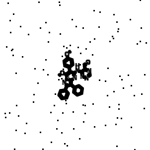 COc1ccc(-c2c(Nc3nncnc3C=O)nc3c(C4=CCCCC4)c(-c4ccccc4)nn3c2OC)cc1